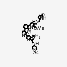 COc1nc(-c2cccc(-c3ccnc(-c4cnc5c(CNC6CCN(C(C)=O)CC6)cn(C)c5c4)c3Cl)c2Cl)ccc1CNCC1CCC(=O)N1